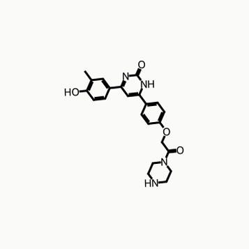 Cc1cc(-c2cc(-c3ccc(OCC(=O)N4CCNCC4)cc3)[nH]c(=O)n2)ccc1O